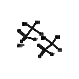 CCC(S)(S)S(=O)(=O)[O-].CCC(S)(S)S(=O)(=O)[O-].[Zn+2]